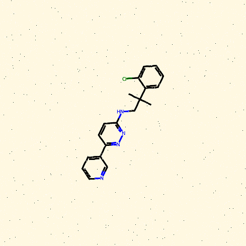 CC(C)(CNc1ccc(-c2cccnc2)nn1)c1ccccc1Cl